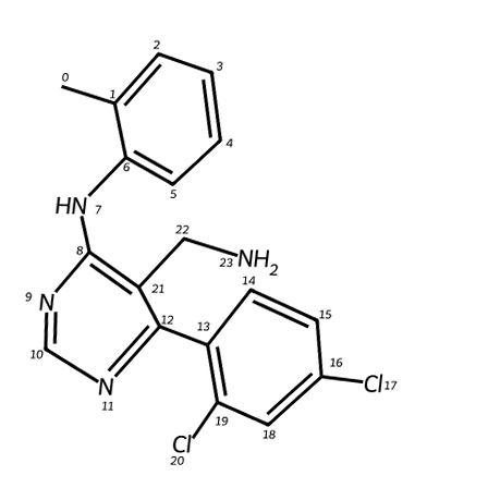 Cc1ccccc1Nc1ncnc(-c2ccc(Cl)cc2Cl)c1CN